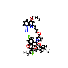 COc1cc(CCCCOC2CCN(C(C(=O)OC(C)(C)C)c3cc(F)cc4c3CC(C(C)(C)F)CO4)C2)nc2c1CCCN2